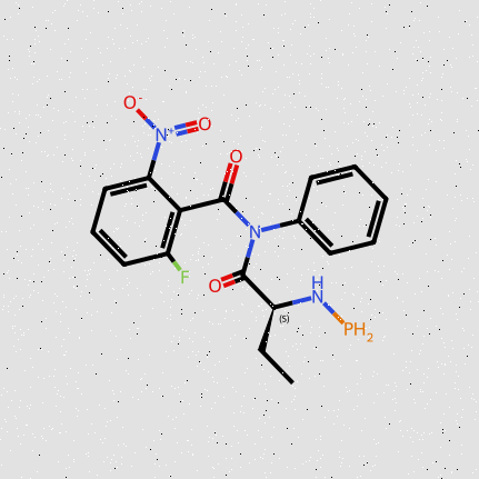 CC[C@H](NP)C(=O)N(C(=O)c1c(F)cccc1[N+](=O)[O-])c1ccccc1